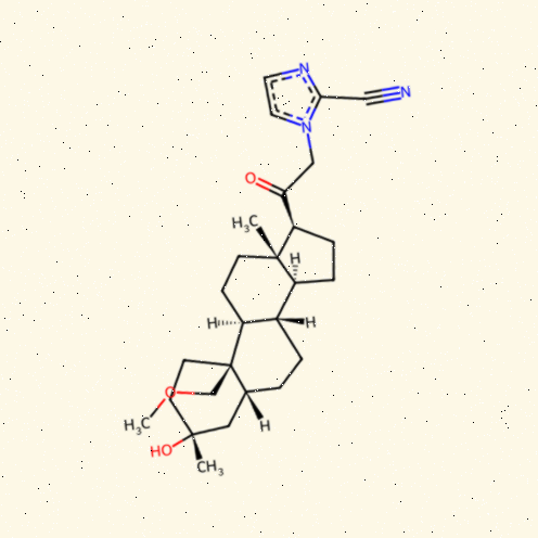 COC[C@]12CC[C@@](C)(O)C[C@H]1CC[C@H]1[C@@H]3CC[C@H](C(=O)Cn4ccnc4C#N)[C@@]3(C)CC[C@@H]12